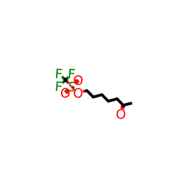 CC(=O)CCCCCOS(=O)(=O)C(F)(F)F